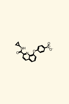 O=C(NC1CC1)c1ccc2cccc(Oc3ccc([N+](=O)[O-])cc3)c2n1